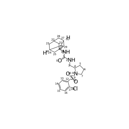 O=C(NCC1CCCN1S(=O)(=O)c1ccccc1Cl)NC12CC3C[C@H](C1)C[C@@H](C3)C2